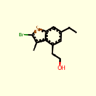 CCc1cc(CCO)c2c(C)c(Br)sc2c1